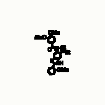 CCN(CC)c1cc2[nH]c(-c3ccccc3OC)nc2cc1NC(=O)c1ccc(OC)c(OC)c1